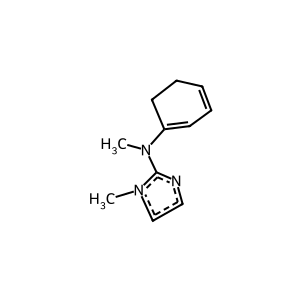 CN(C1=CC=CCC1)c1nccn1C